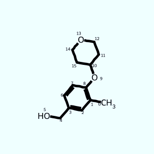 Cc1cc(CO)ccc1OC1CCOCC1